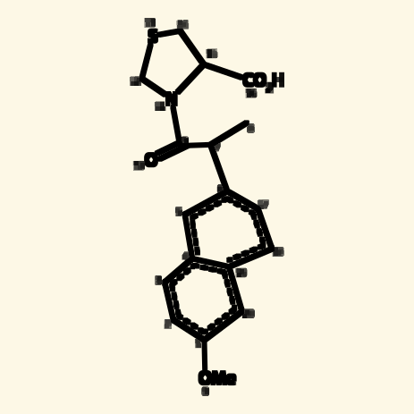 COc1ccc2cc(C(C)C(=O)N3CSCC3C(=O)O)ccc2c1